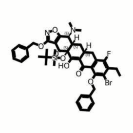 CCc1c(F)c2c(c(OCc3ccccc3)c1Br)C(=O)C1=C(O)[C@]3(O[Si](C)(C)C(C)(C)C)C(=O)c4c(OCc5ccccc5)noc4[C@@H](N(C)C)[C@@H]3C[C@@H]1C2